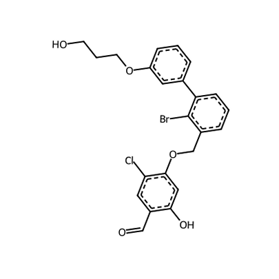 O=Cc1cc(Cl)c(OCc2cccc(-c3cccc(OCCCO)c3)c2Br)cc1O